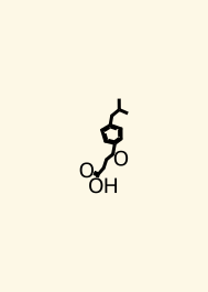 CC(C)Cc1ccc(C(=O)CCC(=O)O)cc1